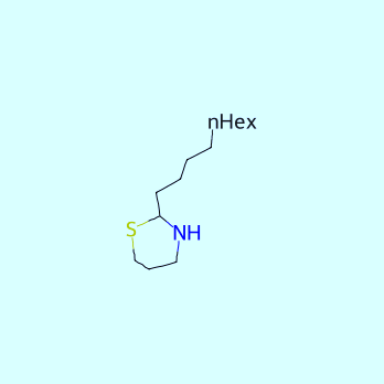 CCCCCCCCCCC1NCCCS1